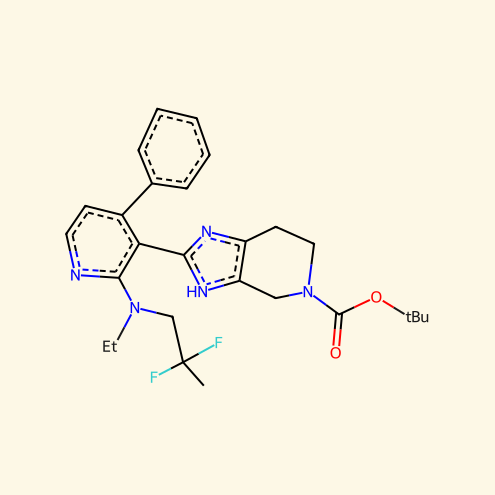 CCN(CC(C)(F)F)c1nccc(-c2ccccc2)c1-c1nc2c([nH]1)CN(C(=O)OC(C)(C)C)CC2